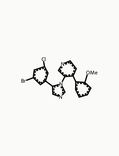 COc1ccccc1-c1ccncc1-n1cncc1-c1cc(Cl)cc(Br)c1